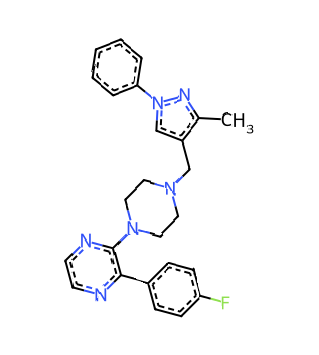 Cc1nn(-c2ccccc2)cc1CN1CCN(c2nccnc2-c2ccc(F)cc2)CC1